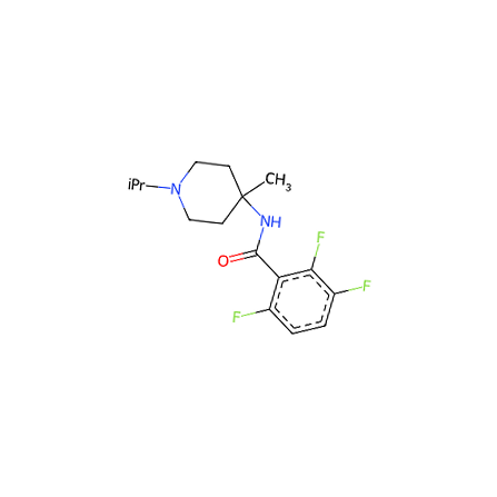 CC(C)N1CCC(C)(NC(=O)c2c(F)ccc(F)c2F)CC1